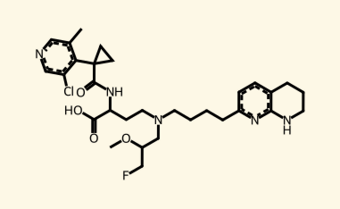 COC(CF)CN(CCCCc1ccc2c(n1)NCCC2)CCC(NC(=O)C1(c2c(C)cncc2Cl)CC1)C(=O)O